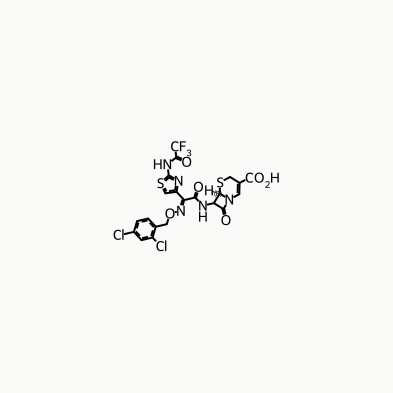 O=C(O)C1=CN2C(=O)C(NC(=O)C(=NOCc3ccc(Cl)cc3Cl)c3csc(NC(=O)C(F)(F)F)n3)[C@H]2SC1